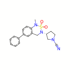 CN1c2ccc(-c3ccccc3)cc2CN([C@@H]2CCN(C#N)C2)S1(=O)=O